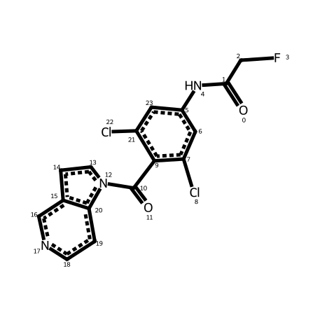 O=C(CF)Nc1cc(Cl)c(C(=O)n2ccc3cnccc32)c(Cl)c1